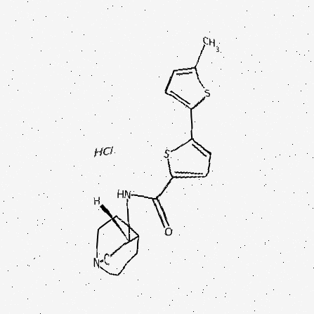 Cc1ccc(-c2ccc(C(=O)N[C@H]3CN4CCC3CC4)s2)s1.Cl